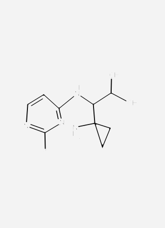 CC(C)C(Nc1ccnc(Cl)n1)C1(N)CC1